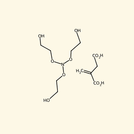 C=C(CC(=O)O)C(=O)O.OCCON(OCCO)OCCO